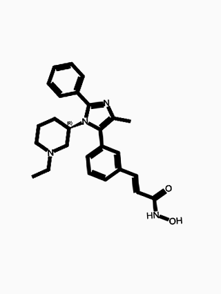 CCN1CCC[C@@H](n2c(-c3ccccc3)nc(C)c2-c2cccc(C=CC(=O)NO)c2)C1